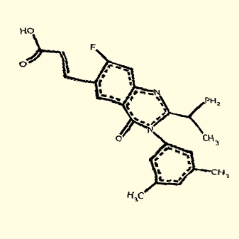 Cc1cc(C)cc(-n2c(C(C)P)nc3cc(F)c(/C=C/C(=O)O)cc3c2=O)c1